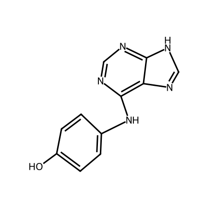 Oc1ccc(Nc2ncnc3[nH]cnc23)cc1